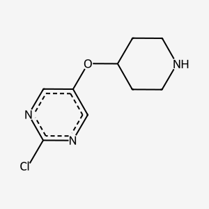 Clc1ncc(OC2CCNCC2)cn1